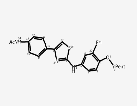 CCCCCOc1ccc(Nc2nc(-c3ccc(NC(C)=O)cc3)cs2)cc1F